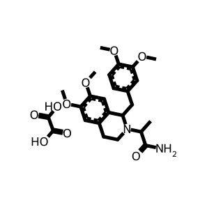 COc1ccc(CC2c3cc(OC)c(OC)cc3CCN2C(C)C(N)=O)cc1OC.O=C(O)C(=O)O